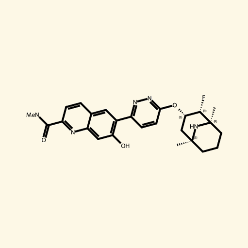 CNC(=O)c1ccc2cc(-c3ccc(O[C@H]4C[C@]5(C)CCC[C@@](C)(N5)[C@H]4F)nn3)c(O)cc2n1